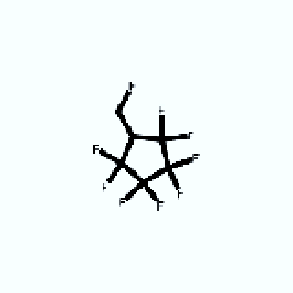 FCC1C(F)(F)C(F)(F)C(F)(F)C1(F)F